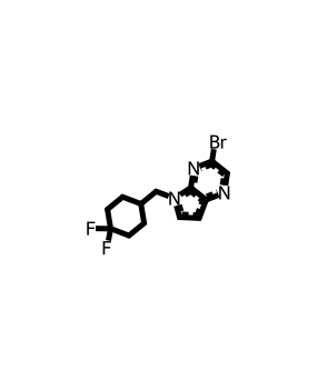 FC1(F)CCC(Cn2ccc3ncc(Br)nc32)CC1